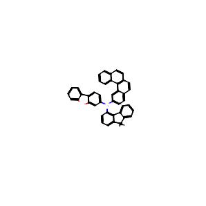 CC1(C)c2ccccc2-c2c(N(c3ccc4c(c3)oc3ccccc34)c3ccc4ccc5ccc6ccccc6c5c4c3)cccc21